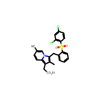 CCOC(=O)Cc1c(C)c(Cc2ccccc2S(=O)(=O)c2ccc(Cl)cc2Cl)n2cc(C#N)ccc12